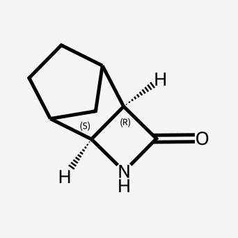 O=C1N[C@H]2C3CCC(C3)[C@@H]12